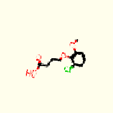 COc1[c]ccc(Cl)c1OCCCC(=O)O